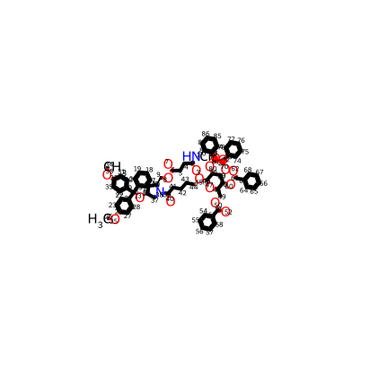 CNC(=O)CCC(=O)OC[C@@H]1C[C@@H](OC(c2ccccc2)(c2ccc(OC)cc2)c2ccc(OC)cc2)CN1C(=O)CCCCO[C@H]1OC(COC(=O)c2ccccc2)[C@@H](OC(=O)c2ccccc2)[C@H](OC(=O)c2ccccc2)C1OC(=O)c1ccccc1